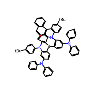 CC(C)(C)c1ccc(N2c3cc(N(c4ccccc4)c4ccccc4)ccc3B3c4ccc(N(c5ccccc5)c5ccccc5)cc4N(c4ccc(C(C)(C)C)cc4-c4cccc5ccccc45)c4cccc2c43)cc1